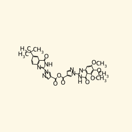 COc1cc2nc(-n3cc(C(=O)OC(=O)c4cnn(-c5nc6ccc(C(C)(C)C)cc6c(=O)[nH]5)c4)cn3)[nH]c(=O)c2c(OC)c1OC